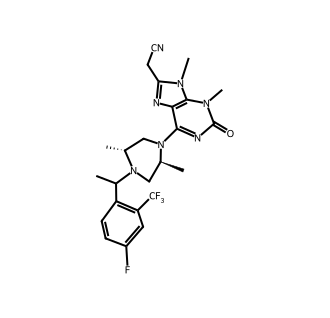 CC(c1ccc(F)cc1C(F)(F)F)N1C[C@H](C)N(c2nc(=O)n(C)c3c2nc(CC#N)n3C)C[C@H]1C